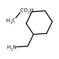 CC(=O)O.NCC1CCCCC1